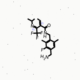 C/C=C(C(=O)NCc1c(C)cc(CN)c(F)c1C)\C(=N/C(C)C)C(F)(F)F